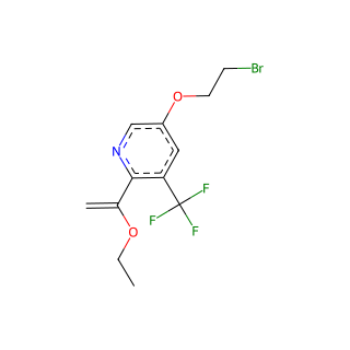 C=C(OCC)c1ncc(OCCBr)cc1C(F)(F)F